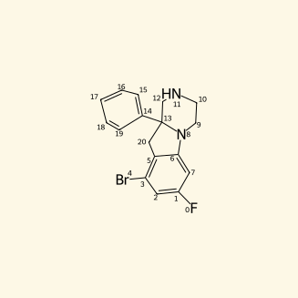 Fc1cc(Br)c2c(c1)N1CCNCC1(c1ccccc1)C2